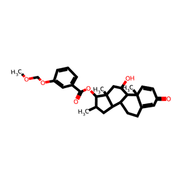 COCOc1cccc(C(=O)OC2C(C)CC3C4CCC5=CC(=O)C=CC5(C)C4C(O)CC32C)c1